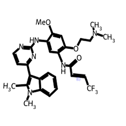 COc1cc(OCCN(C)C)c(NC(=O)/C=C/C(F)(F)F)cc1Nc1nccc(-c2c(C)n(C)c3ccccc23)n1